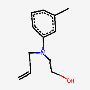 C=CCN(CCO)c1cccc(C)c1